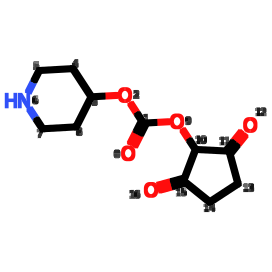 O=C(OC1CCNCC1)OC1C(=O)CCC1=O